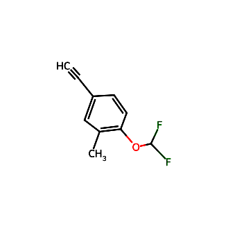 C#Cc1ccc(OC(F)F)c(C)c1